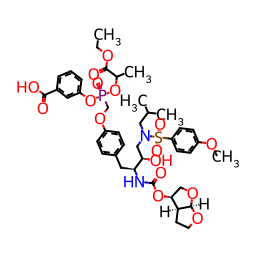 CCOC(=O)C(C)OP(=O)(COc1ccc(C[C@H](NC(=O)O[C@H]2CO[C@H]3OCC[C@H]32)[C@H](O)CN(CC(C)C)S(=O)(=O)c2ccc(OC)cc2)cc1)Oc1cccc(C(=O)O)c1